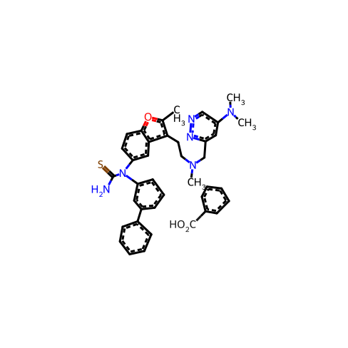 Cc1oc2ccc(N(C(N)=S)c3cccc(-c4ccccc4)c3)cc2c1CCN(C)Cc1cc(N(C)C)cnn1.O=C(O)c1ccccc1